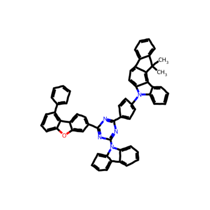 CC1(C)c2ccccc2-c2ccc3c(c21)c1ccccc1n3-c1ccc(-c2nc(-c3ccc4c(c3)oc3cccc(-c5ccccc5)c34)nc(-n3c4ccccc4c4ccccc43)n2)cc1